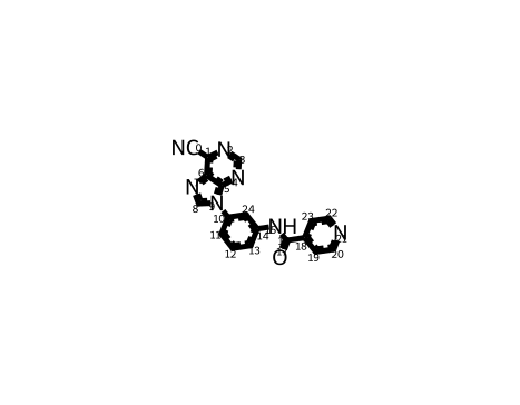 N#Cc1ncnc2c1ncn2-c1cccc(NC(=O)c2ccncc2)c1